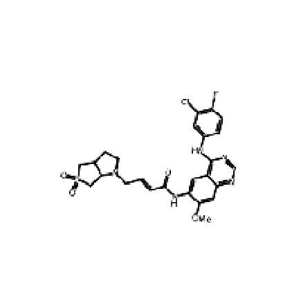 COc1cc2ncnc(Nc3ccc(F)c(Cl)c3)c2cc1NC(=O)/C=C/CN1CCC2CS(=O)(=O)CC21